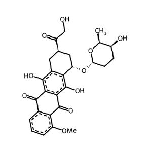 COc1cccc2c1C(=O)c1c(O)c3c(c(O)c1C2=O)C[C@@H](C(=O)CO)C[C@@H]3O[C@H]1CC[C@H](O)[C@H](C)O1